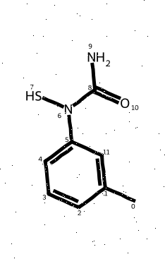 Cc1cccc(N(S)C(N)=O)c1